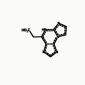 O=C(O)Cc1[nH]c2nccn2c2ncnc1-2